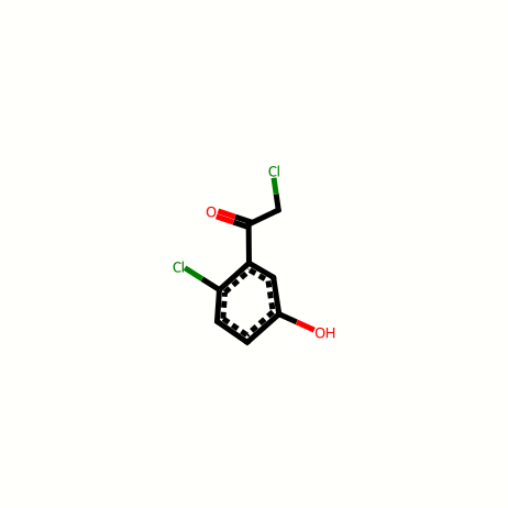 O=C(CCl)c1cc(O)ccc1Cl